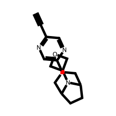 C#Cc1cnc(N2CC3CCC(C2)N3C2COC2)cn1